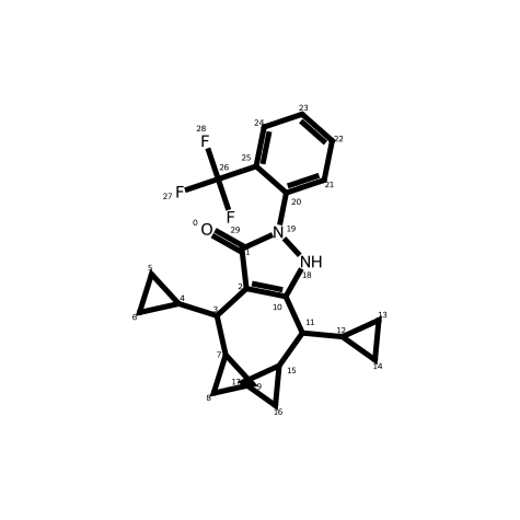 O=c1c(C(C2CC2)C2CC2)c(C(C2CC2)C2CC2)[nH]n1-c1ccccc1C(F)(F)F